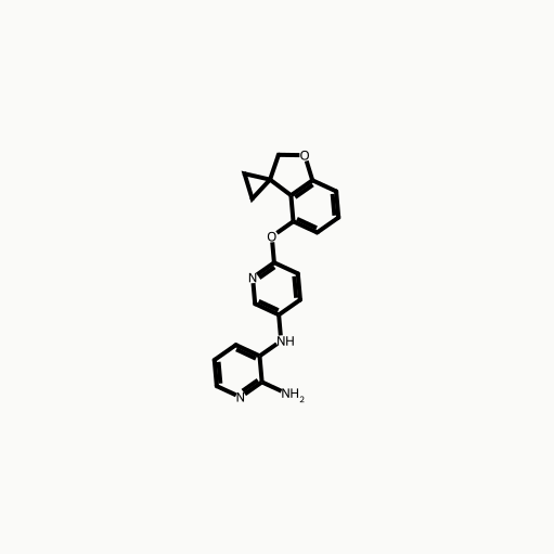 Nc1ncccc1Nc1ccc(Oc2cccc3c2C2(CC2)CO3)nc1